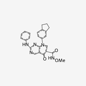 CONC(=O)c1cn(-c2ccc3c(c2)CCC3)c2nc(Nc3ccccc3)ncc2c1=O